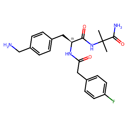 CC(C)(NC(=O)[C@H](Cc1ccc(CN)cc1)NC(=O)Cc1ccc(F)cc1)C(N)=O